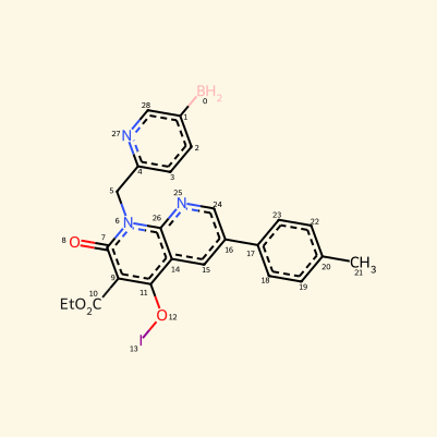 Bc1ccc(Cn2c(=O)c(C(=O)OCC)c(OI)c3cc(-c4ccc(C)cc4)cnc32)nc1